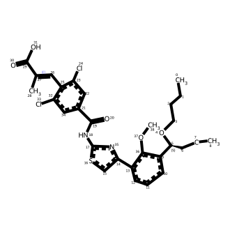 CCCCO[C@@H](CCC)c1cccc(-c2csc(NC(=O)c3cc(Cl)c(/C=C(\C)C(=O)O)c(Cl)c3)n2)c1OC